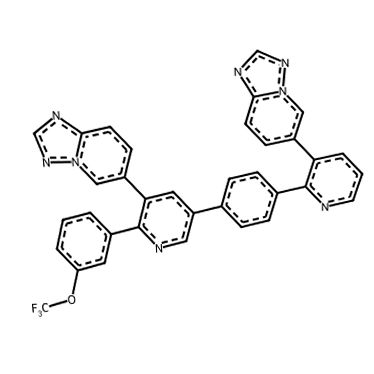 FC(F)(F)Oc1cccc(-c2ncc(-c3ccc(-c4ncccc4-c4ccc5ncnn5c4)cc3)cc2-c2ccc3ncnn3c2)c1